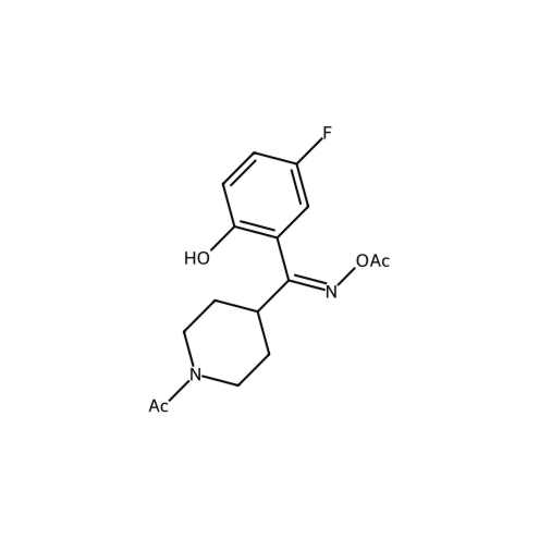 CC(=O)O/N=C(\c1cc(F)ccc1O)C1CCN(C(C)=O)CC1